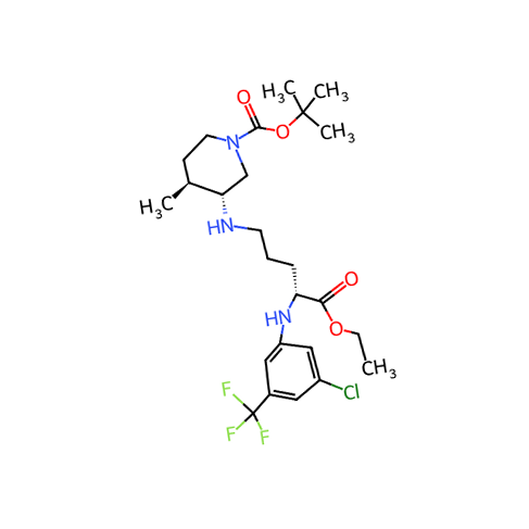 CCOC(=O)[C@@H](CCCN[C@H]1CN(C(=O)OC(C)(C)C)CC[C@@H]1C)Nc1cc(Cl)cc(C(F)(F)F)c1